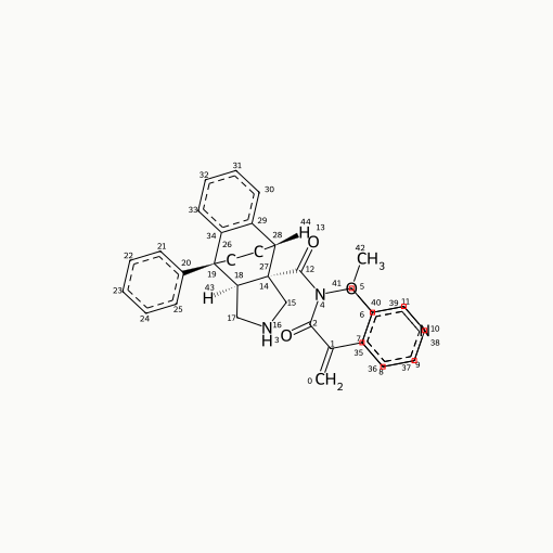 C=C(C(=O)N(Cc1cccnc1)C(=O)[C@]12CNC[C@H]1[C@@]1(c3ccccc3)CC[C@@H]2c2ccccc21)c1ccccc1OC